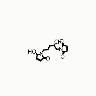 CC(CCCN1C(=O)C=CC1O)CN1C(=O)C=CC1=O